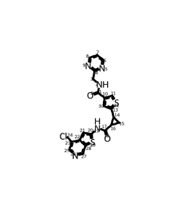 O=C(NCc1ncccn1)c1csc(C2CC2C(=O)Nc2cc3c(Cl)cncc3s2)c1